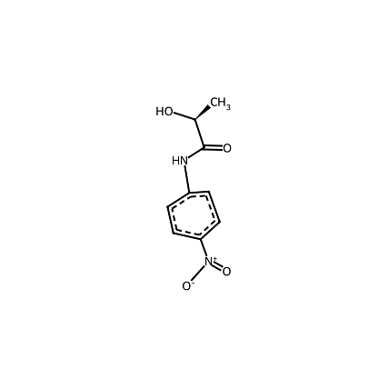 C[C@H](O)C(=O)Nc1ccc([N+](=O)[O-])cc1